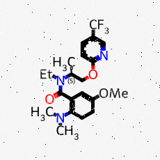 CCN(C(=O)C1=C(N(C)C)CCC(OC)=C1)[C@@H](C)COc1ccc(C(F)(F)F)cn1